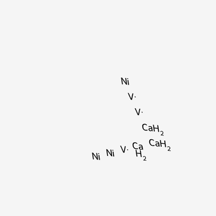 [CaH2].[CaH2].[CaH2].[Ni].[Ni].[Ni].[V].[V].[V]